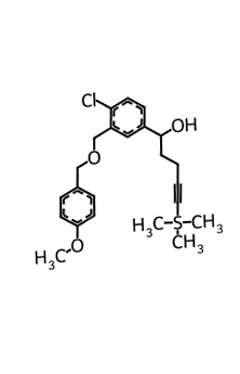 COc1ccc(COCc2cc(C(O)CCC#CS(C)(C)C)ccc2Cl)cc1